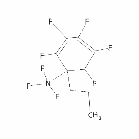 CCCC1([N+](F)(F)F)C(F)=C(F)C(F)=C(F)C1F